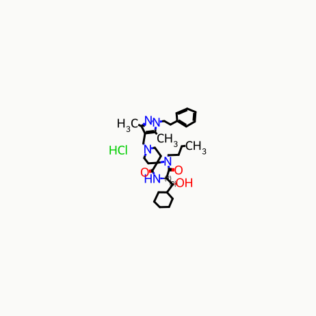 CCCCN1C(=O)[C@@H]([C@H](O)C2CCCCC2)NC(=O)C12CCN(Cc1c(C)nn(CCc3ccccc3)c1C)CC2.Cl